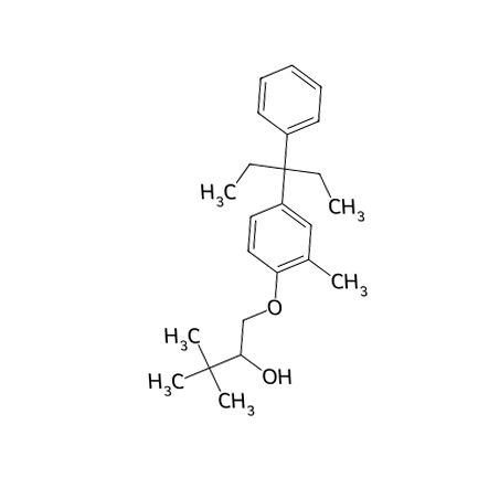 CCC(CC)(c1ccccc1)c1ccc(OCC(O)C(C)(C)C)c(C)c1